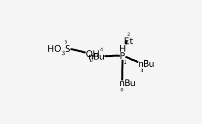 CCCC[PH](CC)(CCCC)CCCC.O=S(=O)(O)O